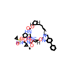 C=C[C@@H]1C[C@]1(NC(=O)[C@@H]1C[C@@H]2C[N+]1([O-])C(=O)[C@H](C1CCCC1)NC(=O)O[C@@H]1CCC[C@H]1CC/C=C/CN1Cc3ccc(-c4ccccc4)cc3N=C1O2)C(=O)NS(=O)(=O)C1CC1